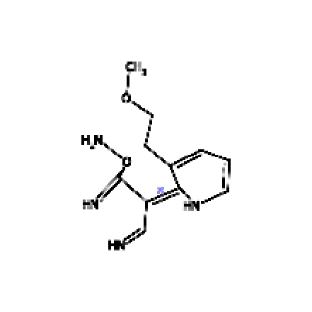 COCCC1=CC=CN/C1=C(\C=N)C(=N)ON